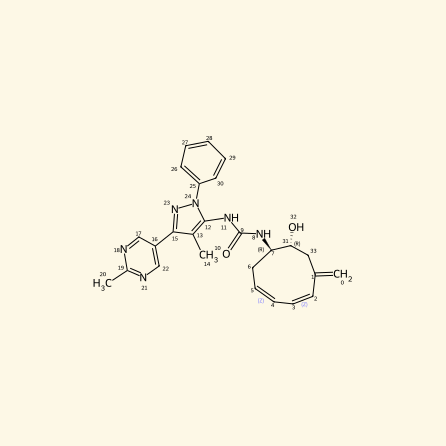 C=C1/C=C\C=C/C[C@@H](NC(=O)Nc2c(C)c(-c3cnc(C)nc3)nn2-c2ccccc2)[C@H](O)C1